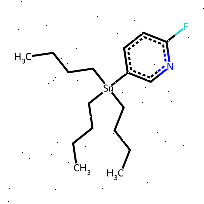 CCC[CH2][Sn]([CH2]CCC)([CH2]CCC)[c]1ccc(F)nc1